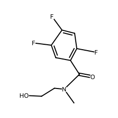 CN(CCO)C(=O)c1cc(F)c(F)cc1F